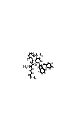 CN(c1nccc(=O)n1COC(=O)C(N)CCCCN)C1CCN(c2nc3c(n2Cc2ccc(F)cc2)=CCCC=3)CC1